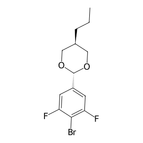 CCC[C@H]1CO[C@H](c2cc(F)c(Br)c(F)c2)OC1